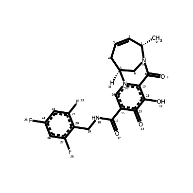 C[C@H]1C=CC[C@H]2CN1C(=O)c1c(O)c(=O)c(C(=O)NCc3c(F)cc(F)cc3F)cn12